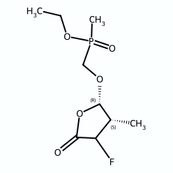 CCOP(C)(=O)CO[C@H]1OC(=O)C(F)[C@H]1C